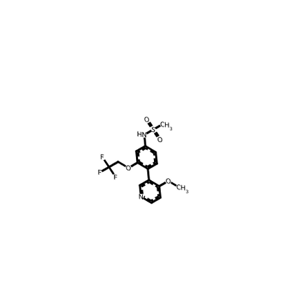 COc1ccncc1-c1ccc(NS(C)(=O)=O)cc1OCC(F)(F)F